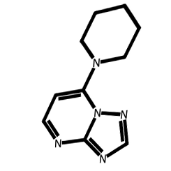 c1cc(N2CCCCC2)n2ncnc2n1